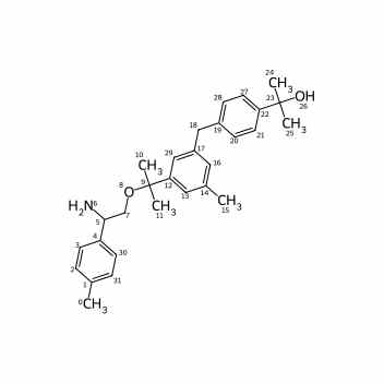 Cc1ccc(C(N)COC(C)(C)c2cc(C)cc(Cc3ccc(C(C)(C)O)cc3)c2)cc1